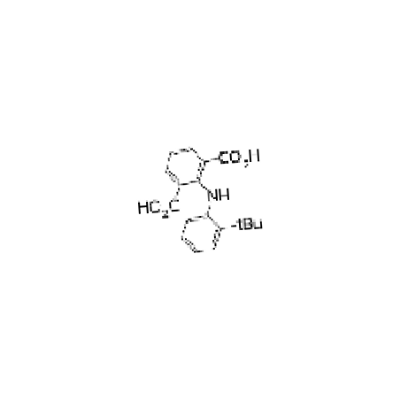 CC(C)(C)c1ccccc1Nc1c(C(=O)O)cccc1C(=O)O